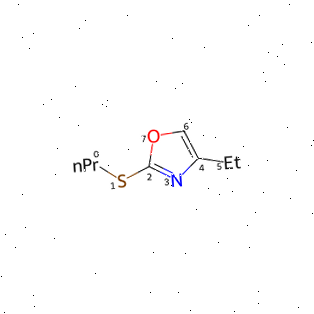 CCCSc1nc(CC)co1